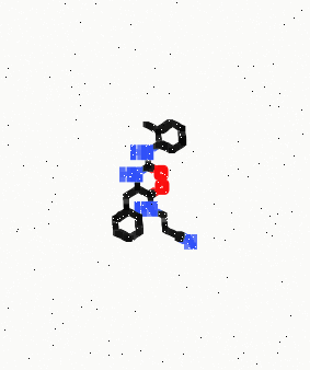 Cc1ccccc1NC(=O)NC(Cc1ccccc1)C(=O)NCCC#N